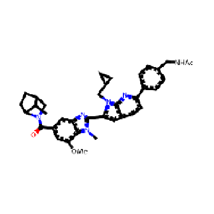 COc1cc(C(=O)N2CC3CCC2C3C)cc2nc(-c3cc4ccc(-c5ccc(CNC(C)=O)cc5)nc4n3CC3CC3)n(C)c12